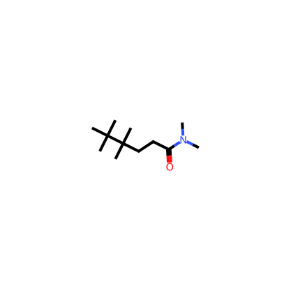 CN(C)C(=O)CCC(C)(C)C(C)(C)C